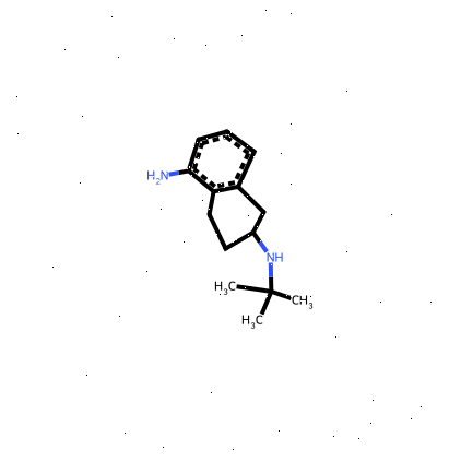 CC(C)(C)NC1CCc2c(N)cccc2C1